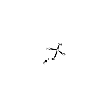 O[Si](O)(O)O.[O]=[Hf]